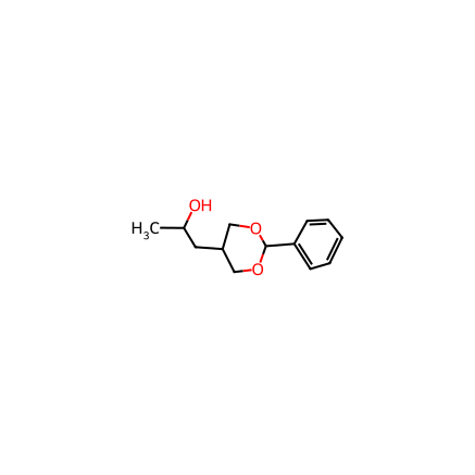 CC(O)CC1COC(c2ccccc2)OC1